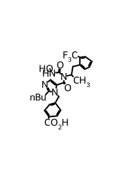 CCCCc1ncc(C(=O)N(C(=O)NO)C(C)Cc2ccccc2C(F)(F)F)n1Cc1ccc(C(=O)O)cc1